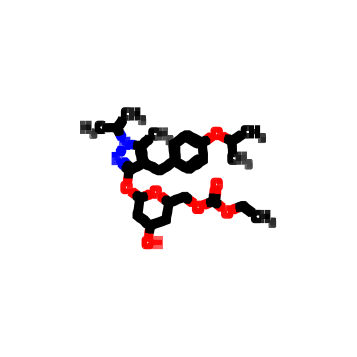 CCOC(=O)OCC1CC(O)CC(Oc2nn(C(C)C)c(C)c2Cc2ccc(OC(C)C)cc2)O1